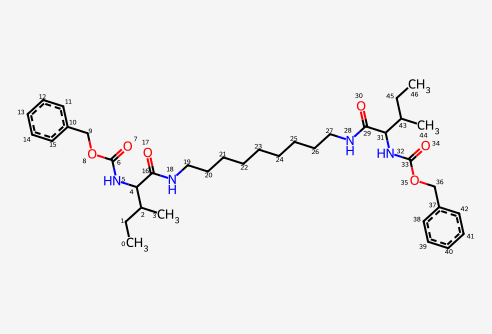 CCC(C)C(NC(=O)OCc1ccccc1)C(=O)NCCCCCCCCCNC(=O)C(NC(=O)OCc1ccccc1)C(C)CC